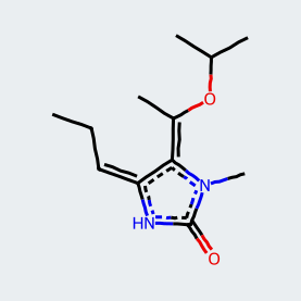 CC/C=c1/[nH]c(=O)n(C)/c1=C(/C)OC(C)C